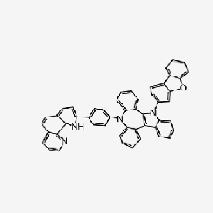 C1=Cc2cccnc2C2NC(c3ccc(N4c5ccccc5-c5c(n(-c6ccc7c(c6)oc6ccccc67)c6ccccc56)-c5ccccc54)cc3)=CC=C12